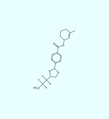 CC1=CC(OC(=O)c2ccc(C3OCC(C(F)(F)C(F)(F)S(=O)(=O)O)O3)cc2)CCC1